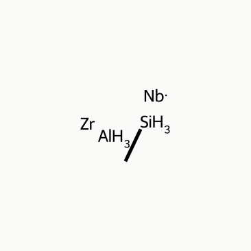 C[SiH3].[AlH3].[Nb].[Zr]